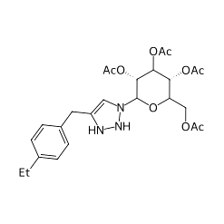 CCc1ccc(CC2=CN(C3OC(COC(C)=O)[C@@H](OC(C)=O)C(OC(C)=O)[C@H]3OC(C)=O)NN2)cc1